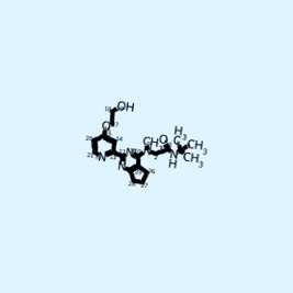 CN(CC(=O)NC(C)(C)C)c1nc(-c2cc(OCCO)ccn2)nc2c1CCC2